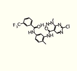 Cc1ccc(NC(=O)c2cccc(C(F)(F)F)c2)cc1NC(=O)c1cnc(Cl)nc1N(C)N